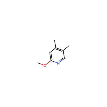 COc1cc(C)c(C)[c]n1